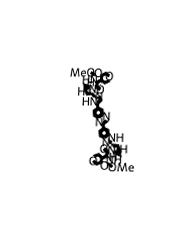 COC(=O)N[C@H](C(=O)N1C(c2ncc(-c3ccc4nc(-c5ccc6nc([C@@H]7C[C@H]8C[C@H]8N7C(=O)[C@@H](NC(=O)OC)C7CCOCC7)[nH]c6c5)cnc4c3)[nH]2)C[C@H]2C[C@H]21)C1CCOCC1